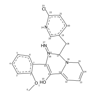 COc1ccccc1C1=C(O)C2=CC=CCN2C(Cc2ccc(Cl)nc2)[N+]1=N